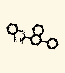 C=C(Sc1ccccc1N)c1ccc(-c2ccccc2)c2ccccc12